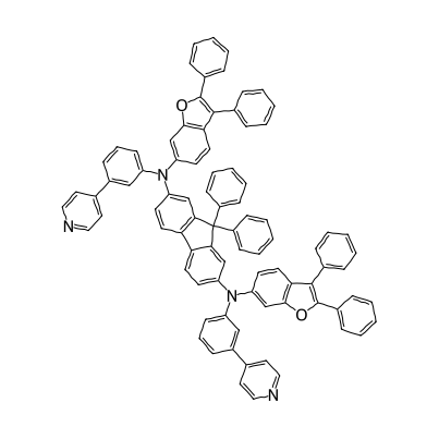 c1ccc(-c2oc3cc(N(c4cccc(-c5ccncc5)c4)c4ccc5c(c4)C(c4ccccc4)(c4ccccc4)c4cc(N(c6cccc(-c7ccncc7)c6)c6ccc7c(-c8ccccc8)c(-c8ccccc8)oc7c6)ccc4-5)ccc3c2-c2ccccc2)cc1